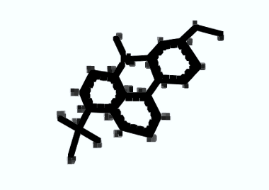 CCc1ccc2c(c1)N(C)c1ccc(C(C)(C)C)c3cccc-2c13